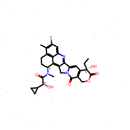 CC[C@@]1(O)C(=O)OCc2c1cc1n(c2=O)Cc2c-1nc1cc(F)c(C)c3c1c2[C@@H](N(C)C(=O)[C@@H](O)C1CC1)CC3